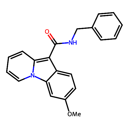 COc1ccc2c(C(=O)NCc3ccccc3)c3ccccn3c2c1